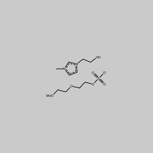 COCCOCCOS(=O)(=O)[O-].C[n+]1ccn(CCO)c1